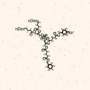 CCCCCCCCCCCCCC(=O)OC[C@H](COP(=O)([O-])OCC(COC(=O)CCCC(=O)OCc1ccccc1)OC(=O)CCCC(=O)OCc1ccccc1)OC(=O)CCCCCCCCCCCCC.[Na+]